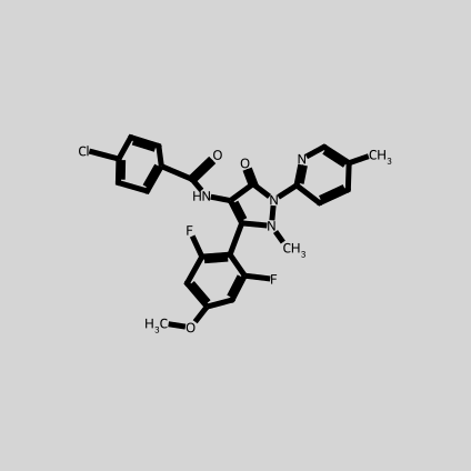 COc1cc(F)c(-c2c(NC(=O)c3ccc(Cl)cc3)c(=O)n(-c3ccc(C)cn3)n2C)c(F)c1